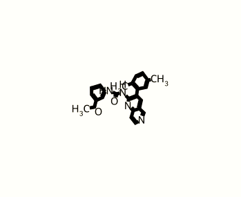 CC(=O)c1cccc(NC(=O)Nc2nc3ccncc3cc2-c2cc(C)ccc2C)c1